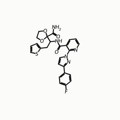 NC(=O)C1(C(Cc2cccs2)NC(=O)c2cccnc2-n2ccc(-c3ccc(F)cc3)n2)OCCO1